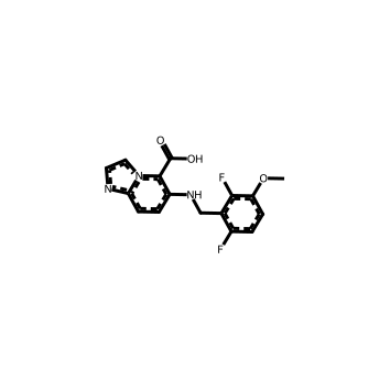 COc1ccc(F)c(CNc2ccc3nccn3c2C(=O)O)c1F